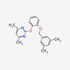 Cc1cc(C)cc(COc2ccccc2Sc2nc(C)cc(C)n2)c1